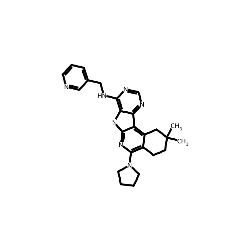 CC1(C)CCc2c(N3CCCC3)nc3sc4c(NCc5cccnc5)ncnc4c3c2C1